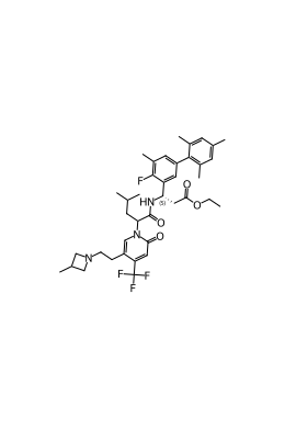 CCOC(=O)C[C@H](NC(=O)C(CC(C)C)n1cc(CCN2CC(C)C2)c(C(F)(F)F)cc1=O)c1cc(-c2c(C)cc(C)cc2C)cc(C)c1F